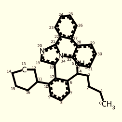 CCCCC(C)c1cccc(C2CCCCC2)c1-c1cnc2c3ccccc3c3ccccc3n12